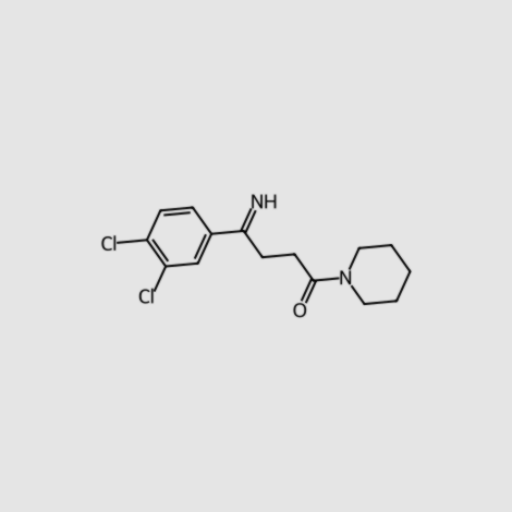 N=C(CCC(=O)N1CCCCC1)c1ccc(Cl)c(Cl)c1